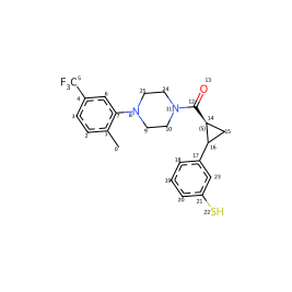 Cc1ccc(C(F)(F)F)cc1N1CCN(C(=O)[C@H]2CC2c2cccc(S)c2)CC1